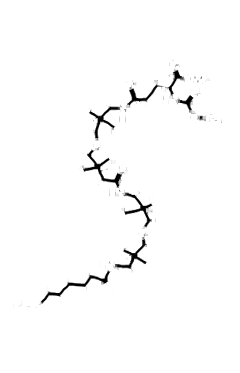 CCCCCCCCCCCCCCCC(=O)NCC(C)(C)COCC(C)(C)CNC(=O)CC(C)(C)COCC(C)(C)CNC(=O)CC[C@H](NC(=O)OC(C)(C)C)C(=O)OC